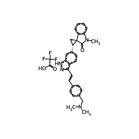 CN(C)Cc1ccc(C=Cc2n[nH]c3cc([C@@H]4C[C@@]45C(=O)N(C)c4ccccc45)ccc23)cc1.O=C(O)C(F)(F)F